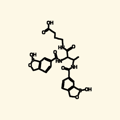 CC(NC(=O)c1ccc2c(c1)B(O)OC2)C(NC(=O)c1ccc2c(c1)B(O)OC2)C(=O)NCCCC(=O)O